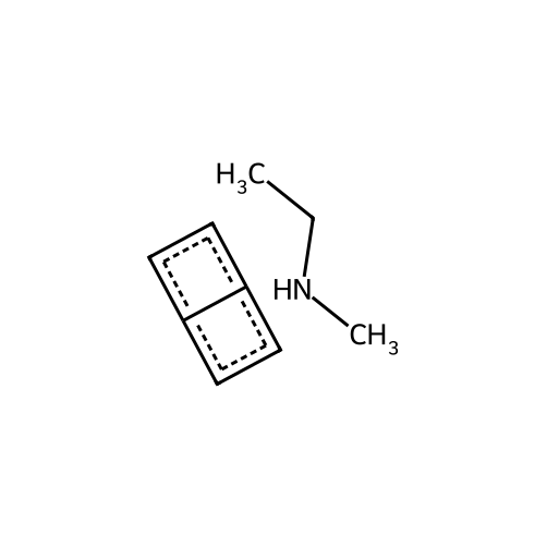 CCNC.c1cc2ccc1-2